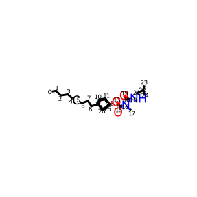 CCCCCCCCCc1ccc(OC(=O)N(C)C(=O)NCC(C)C)cc1